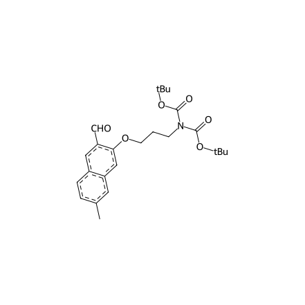 Cc1ccc2cc(C=O)c(OCCCN(C(=O)OC(C)(C)C)C(=O)OC(C)(C)C)cc2c1